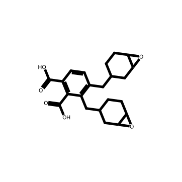 O=C(O)c1ccc(CC2CCC3OC3C2)c(CC2CCC3OC3C2)c1C(=O)O